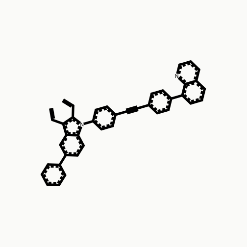 C=Cc1c(C=C)n(-c2ccc(C#Cc3ccc(-c4cccc5cccnc45)cc3)cc2)c2ccc(-c3ccccc3)cc12